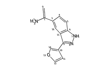 C=C(N)c1ccc2[nH]nc(-c3ccoc3)c2c1